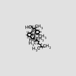 C=CC(C)CCCC(C)(C)O.CC(C)c1cccc2cccnc12.CC1=CCC(C(C)CCO)CC1